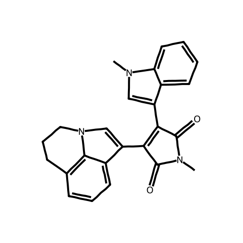 CN1C(=O)C(c2cn(C)c3ccccc23)=C(c2cn3c4c(cccc24)CCC3)C1=O